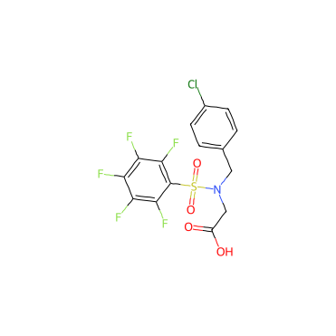 O=C(O)CN(Cc1ccc(Cl)cc1)S(=O)(=O)c1c(F)c(F)c(F)c(F)c1F